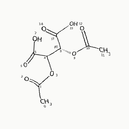 CC(=O)OC(C(=O)O)[C@@H](OC(C)=O)C(=O)O